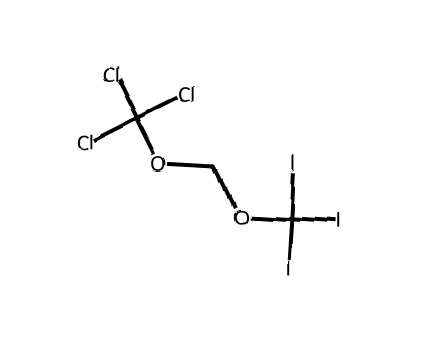 ClC(Cl)(Cl)OCOC(I)(I)I